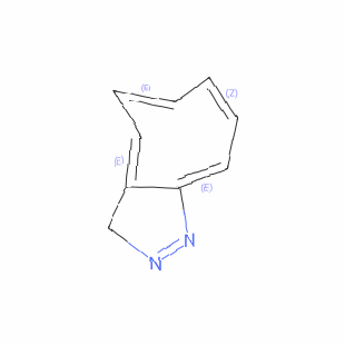 C1=C\C=C2\N=NC\C2=C/C=C/1